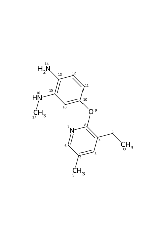 CCc1cc(C)cnc1Oc1ccc(N)c(NC)c1